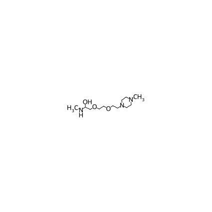 CNC(O)COCCOCCN1CCN(C)CC1